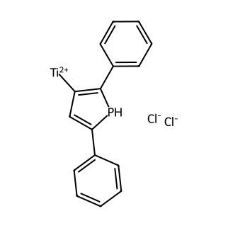 [Cl-].[Cl-].[Ti+2][c]1cc(-c2ccccc2)[pH]c1-c1ccccc1